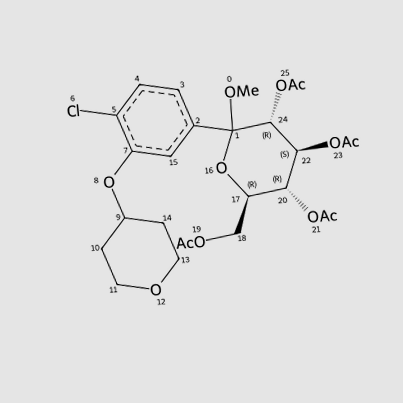 COC1(c2ccc(Cl)c(OC3CCOCC3)c2)O[C@H](COC(C)=O)[C@@H](OC(C)=O)[C@H](OC(C)=O)[C@H]1OC(C)=O